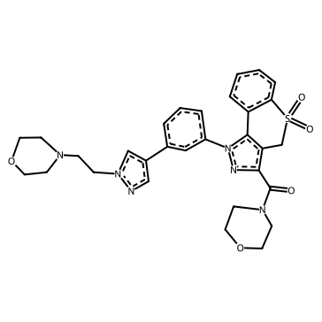 O=C(c1nn(-c2cccc(-c3cnn(CCN4CCOCC4)c3)c2)c2c1CS(=O)(=O)c1ccccc1-2)N1CCOCC1